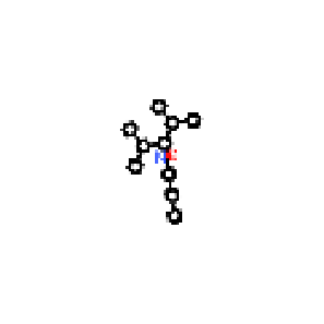 c1ccc(-c2ccc(-c3ccc(-c4nc5c(-c6cc(-c7ccccc7)cc(-c7ccccc7)c6)cc(-c6cc(-c7ccccc7)cc(-c7ccccc7)c6)cc5o4)cc3)cc2)cc1